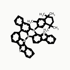 Cc1cc2c(cc1N1c3cc4ccccc4c4c3B(c3ccc5c(oc6ccccc65)c31)n1c3c-4cccc3c3sc4ccccc4c31)C(C)(C)CCC2(C)C